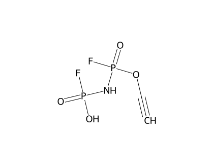 C#COP(=O)(F)NP(=O)(O)F